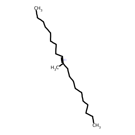 CCCCCCCC/C=C(\C)CCCCCCCCCC